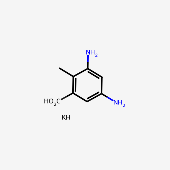 Cc1c(N)cc(N)cc1C(=O)O.[KH]